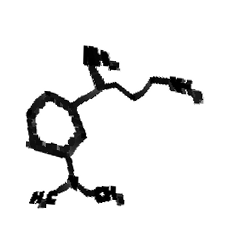 CN(C)c1[c]ccc(C(N)CCN)c1